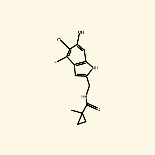 CC1(C(=O)NCc2cc3c(F)c(Cl)c(O)cc3[nH]2)CC1